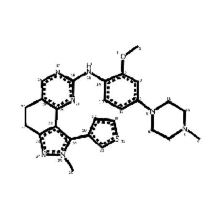 COc1cc(N2CCN(C)CC2)ccc1Nc1ncc2c(n1)-c1c(nn(C)c1-c1ccsc1)CC2